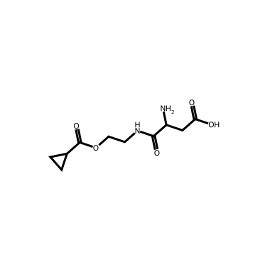 NC(CC(=O)O)C(=O)NCCOC(=O)C1CC1